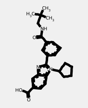 CC(C)(C)CNC(=O)c1cccc(-c2nc3cc(C(=O)O)ccc3n2C2CCCC2)c1